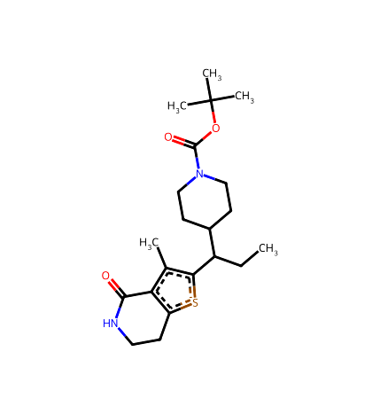 CCC(c1sc2c(c1C)C(=O)NCC2)C1CCN(C(=O)OC(C)(C)C)CC1